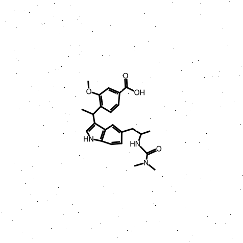 COc1cc(C(=O)O)ccc1C(C)c1c[nH]c2ccc(CC(C)NC(=O)N(C)C)cc12